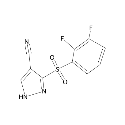 N#Cc1c[nH]nc1S(=O)(=O)c1cccc(F)c1F